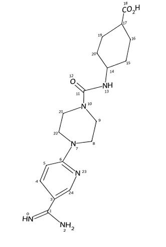 N=C(N)c1ccc(N2CCN(C(=O)NC3CCC(C(=O)O)CC3)CC2)nc1